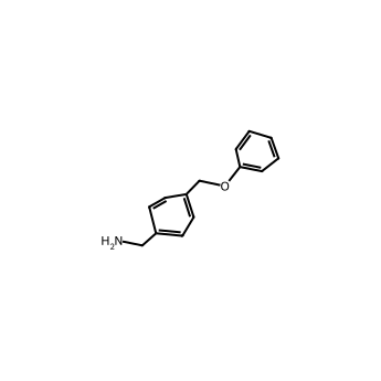 NCc1ccc(COc2ccccc2)cc1